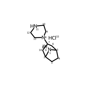 CC(C)N1C2CCC1CC(N1CCNCC1)C2.Cl